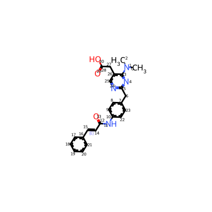 CN(C)c1nc(Cc2ccc(NC(=O)/C=C/c3ccccc3)cc2)ncc1CC(=O)O